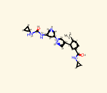 Cc1ccc(C(=O)NC2CC2)cc1-c1cnn(-c2cncc(NC(=O)NC3CC3)c2)c1